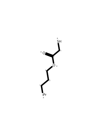 CC(C)CCCOC(=O)CS